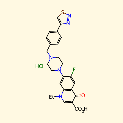 CCn1cc(C(=O)O)c(=O)c2cc(F)c(N3CCN(Cc4ccc(-c5csnn5)cc4)CC3)cc21.Cl